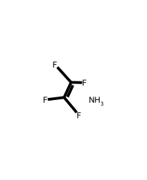 FC(F)=C(F)F.N